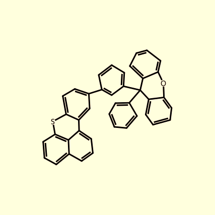 c1ccc(C2(c3cccc(-c4ccc5c(c4)-c4cccc6cccc(c46)S5)c3)c3ccccc3Oc3ccccc32)cc1